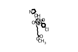 COC(=O)CCCCCNC(=O)[C@H](COc1cccnc1)NS(=O)(=O)c1ccc(Cl)cc1